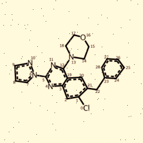 Clc1cc2nc(-n3cccn3)nc(N3CCOCC3)c2cc1Cc1ccccc1